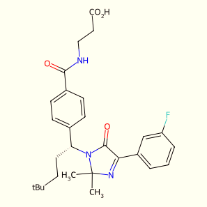 CC(C)(C)CC[C@H](c1ccc(C(=O)NCCC(=O)O)cc1)N1C(=O)C(c2cccc(F)c2)=NC1(C)C